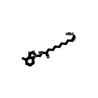 CCCCCCCC/C=C\CCCCCCCC(=O)NCn1nnc2c(C)cccc21